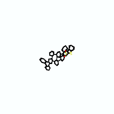 c1ccc2c(c1)-c1cc3c4ccccc4c4ccccc4c3cc1-c1cccc(-c3ccc4sc5ccccc5c4c3)c1-c1cc(-c3ccc4sc5ccccc5c4c3)ccc1-2